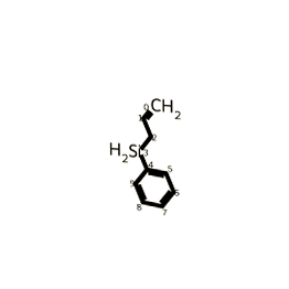 C=CC[SiH2]c1ccccc1